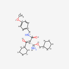 COc1ccc(CNC(=O)[C@@H](C(=O)C2CCCCC2)C(N)OCC2CCCCC2)cc1